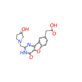 O=C(O)Cc1ccc2oc3c(=O)[nH]c(CN4CC[C@H](O)C4)nc3c2c1